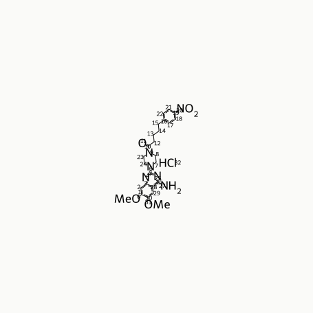 COc1cc2nc(N3CCN(C(=O)CCCCc4ccc([N+](=O)[O-])cc4)CC3)nc(N)c2cc1OC.Cl